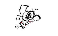 O[C@H](c1cc(-c2ccc(Cl)cc2)nc2ccccc12)[C@@H]1CCCCN1C(c1ccccc1)(c1ccccc1)c1ccccc1